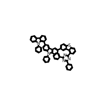 c1ccc(-c2nc(-c3ccccc3)nc(-c3cccc4sc5ccc(-c6ccc7c(c6)c6cc(-c8cccc9c%10ccccc%10n(-c%10ccccc%10)c89)ccc6n7-c6ccccc6)cc5c34)n2)cc1